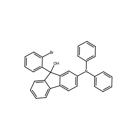 OC1(c2ccccc2Br)c2ccccc2-c2ccc(N(c3ccccc3)c3ccccc3)cc21